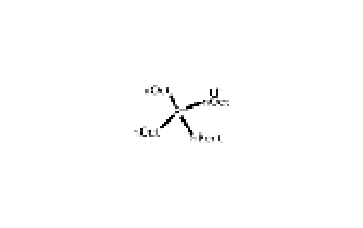 CCCCCCCC[P+](CCCCC)(CCCCCCCC)CCCCCCCC.[Cl-]